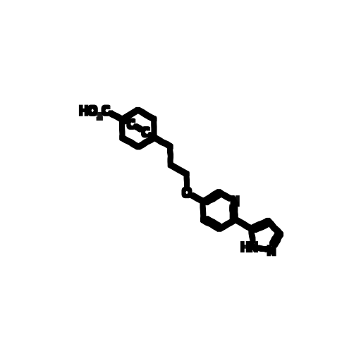 O=C(O)C12CCC(CCCOc3ccc(-c4ccn[nH]4)nc3)(CC1)CC2